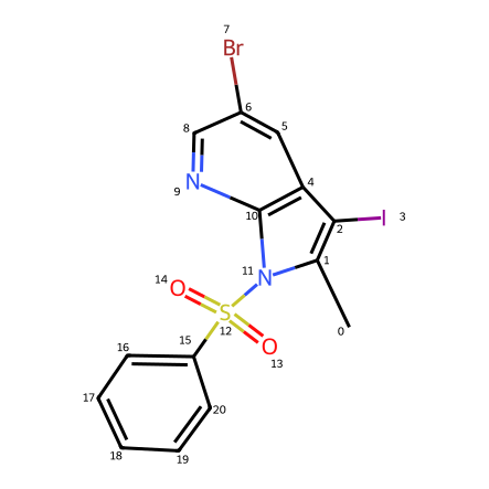 Cc1c(I)c2cc(Br)cnc2n1S(=O)(=O)c1ccccc1